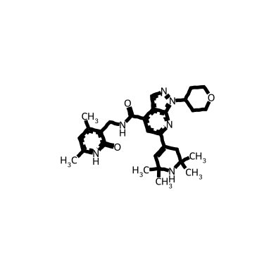 Cc1cc(C)c(CNC(=O)c2cc(C3=CC(C)(C)NC(C)(C)C3)nc3c2cnn3C2CCOCC2)c(=O)[nH]1